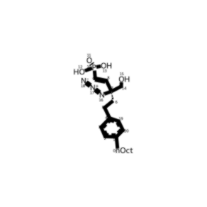 CCCCCCCCc1ccc(CC[C@](/C=C/P(=O)(O)O)(CO)N=[N+]=[N-])cc1